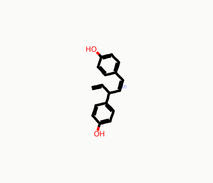 C=CC(/C=C\c1ccc(O)cc1)c1ccc(O)cc1